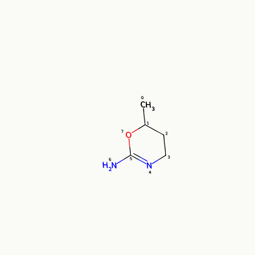 CC1CCN=C(N)O1